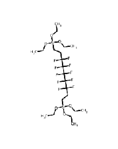 CCO[Si](CCC(F)(F)C(F)(F)C(F)(F)C(F)(F)C(F)(F)CC[Si](OCC)(OCC)OCC)(OCC)OCC